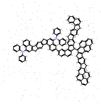 c1ccc(N(c2ccccc2)c2cc3c(c4ccccc24)-c2cc4c(cc2C3)-c2c(cc(N(c3ccccc3)c3ccccc3)c3cc(-c5ccc6ccc7c(c6c5)-c5cc6c(cc5C7c5c7c(c8ccc9cccc%10ccc5c8c9%10)-c5cc8c(cc5C7)-c5cc7ccc9cccc%10ccc(c5C8)c7c9%10)-c5cc7c(cc5C6)-c5c(ccc6ccccc56)C7)ccc23)C4)cc1